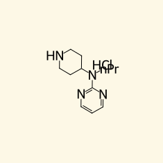 CCCN(c1ncccn1)C1CCNCC1.Cl